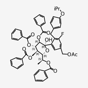 CC(=O)OCc1cc(F)c(Cc2ccc(OC(C)C)cc2)c([C@@]2(O)O[C@H]([C@H](C)OC(=O)c3ccccc3)[C@@H](OC(=O)c3ccccc3)[C@H](OC(=O)c3ccccc3)[C@H]2OC(=O)c2ccccc2)c1